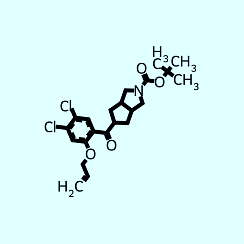 C=CCOc1cc(Cl)c(Cl)cc1C(=O)C1CC2CN(C(=O)OC(C)(C)C)CC2C1